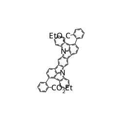 CCOC(=O)c1ccccc1-c1ccc2c3cc4c(cc3n3c5ccccc5c1c23)c1ccc(-c2ccccc2C(=O)OCC)c2c3ccccc3n4c12